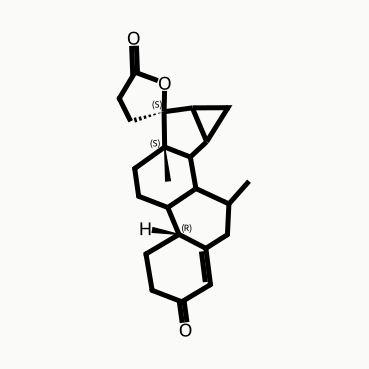 CC1CC2=CC(=O)CC[C@@H]2C2CC[C@@]3(C)C(C4CC4[C@@]34CCC(=O)O4)C12